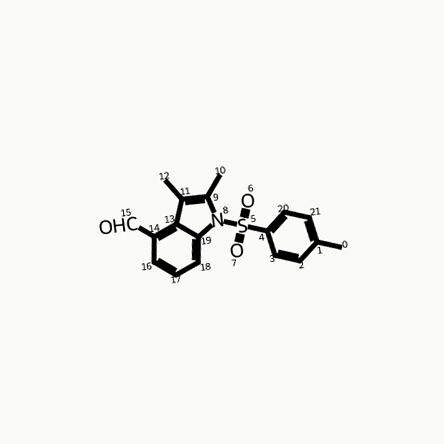 Cc1ccc(S(=O)(=O)n2c(C)c(C)c3c(C=O)cccc32)cc1